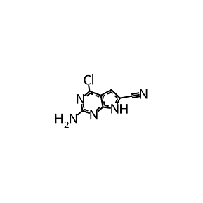 N#Cc1cc2c(Cl)nc(N)nc2[nH]1